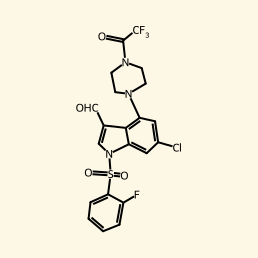 O=Cc1cn(S(=O)(=O)c2ccccc2F)c2cc(Cl)cc(N3CCN(C(=O)C(F)(F)F)CC3)c12